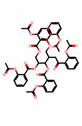 CC(=O)Oc1ccccc1C(=O)CC(COC(=O)c1ccccc1OC(C)=O)C(OC(=O)c1ccccc1OC(C)=O)C(COC(=O)c1ccccc1OC(C)=O)OC(=O)c1ccccc1OC(C)=O